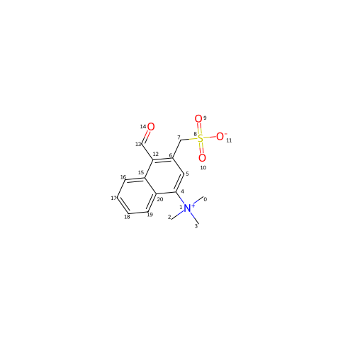 C[N+](C)(C)c1cc(CS(=O)(=O)[O-])c(C=O)c2ccccc12